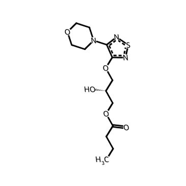 CCCC(=O)OC[C@H](O)COc1nsnc1N1CCOCC1